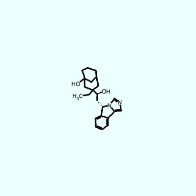 CCC1([C@@H](O)C[C@H]2c3ccccc3-c3cncn32)CC2CCCC(O)(C2)C1